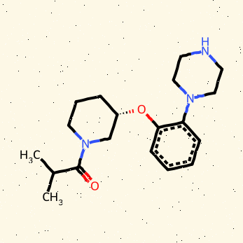 CC(C)C(=O)N1CCC[C@H](Oc2ccccc2N2CCNCC2)C1